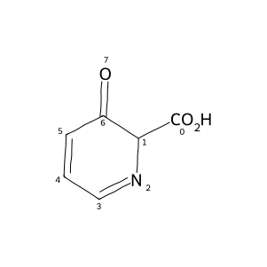 O=C(O)C1N=CC=CC1=O